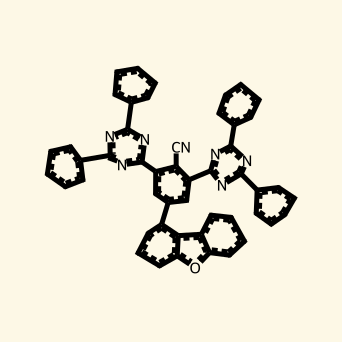 N#Cc1c(-c2nc(-c3ccccc3)nc(-c3ccccc3)n2)cc(-c2cccc3oc4ccccc4c23)cc1-c1nc(-c2ccccc2)nc(-c2ccccc2)n1